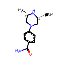 C#C[C@@H]1CN(c2ccc(C(N)=O)cc2)C[C@H](C)N1